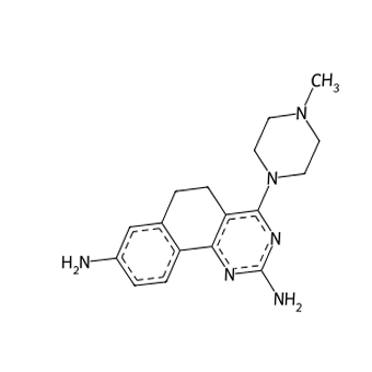 CN1CCN(c2nc(N)nc3c2CCc2cc(N)ccc2-3)CC1